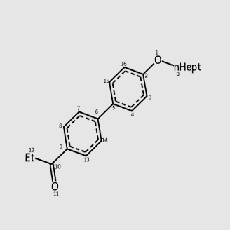 CCCCCCCOc1ccc(-c2ccc(C(=O)CC)cc2)cc1